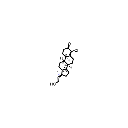 C[C@]12CC[C@H]3[C@@H](CCC4=C(Cl)C(=O)CC[C@@H]43)[C@@H]1CC/C2=C\CO